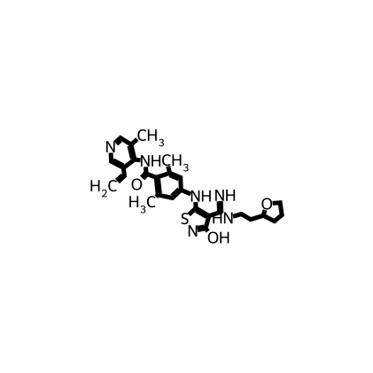 C=Cc1cncc(C)c1NC(=O)c1c(C)cc(Nc2snc(O)c2C(=N)NCCC2CCCO2)cc1C